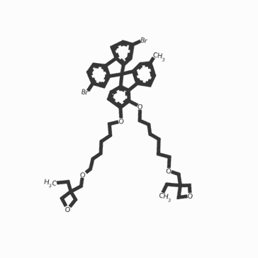 CCC1(COCCCCCCOc2ccc3c(c2OCCCCCCOCC2(CC)COC2)-c2ccc(C)cc2C32c3cc(Br)ccc3-c3ccc(Br)cc32)COC1